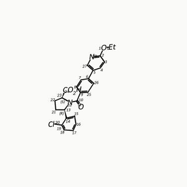 CCOc1ccc(-c2ccc(C(=O)N3[C@@H](c4ccccc4Cl)CC[C@H]3C(=O)O)cc2)cn1